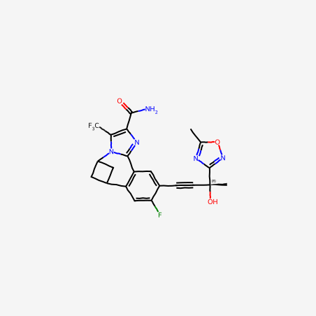 Cc1nc([C@](C)(O)C#Cc2cc3c(cc2F)C2CC(C2)n2c-3nc(C(N)=O)c2C(F)(F)F)no1